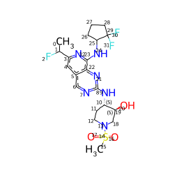 CC(F)c1cc2cnc(N[C@H]3CCN(S(C)(=O)=O)C[C@@H]3O)nc2c(NC2CCCC2(F)F)n1